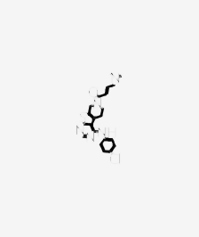 CN(C)CC=CC(=O)N1CCc2c(sc3ncnc(Nc4ccc(Cl)cc4)c23)C1